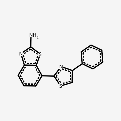 Nc1nc2cccc(-c3nc(-c4ccccc4)cs3)c2s1